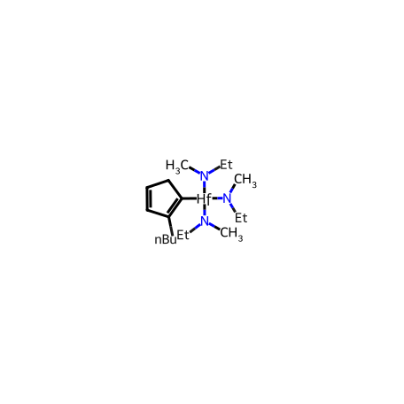 CCCCC1=[C]([Hf]([N](C)CC)([N](C)CC)[N](C)CC)CC=C1